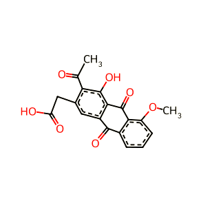 COc1cccc2c1C(=O)c1c(cc(CC(=O)O)c(C(C)=O)c1O)C2=O